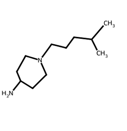 CC(C)CCCN1CCC(N)CC1